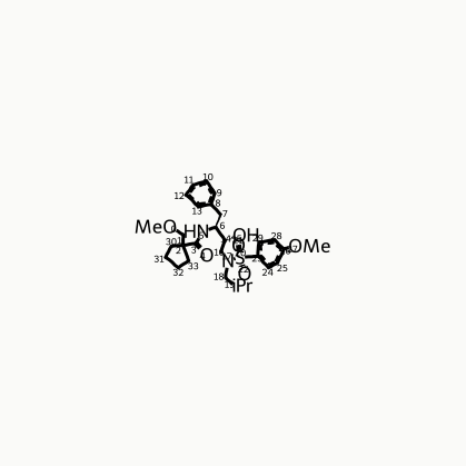 COCC1(C(=O)N[C@@H](Cc2ccccc2)[C@H](O)CN(CC(C)C)S(=O)(=O)c2ccc(OC)cc2)CCCC1